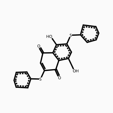 O=C1C(Sc2ccccc2)=CC(=O)c2c(O)c(Sc3ccccc3)cc(O)c21